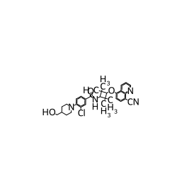 CC1(C)C(NC(=O)c2ccc(N3CCC(CO)CC3)c(Cl)c2)C(C)(C)C1Oc1ccc(C#N)c2ncccc12